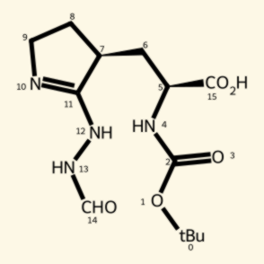 CC(C)(C)OC(=O)N[C@@H](C[C@@H]1CCN=C1NNC=O)C(=O)O